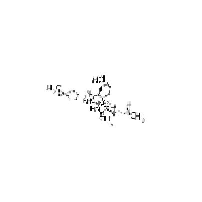 CNCCNC(=O)[C@@H](C)Nc1nc2ccccc2c2nc(-c3ccc(OC)cc3)nn12.Cl